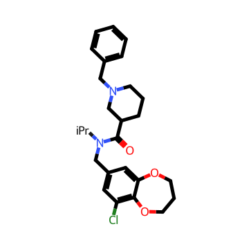 CC(C)N(Cc1cc(Cl)c2c(c1)OCCCO2)C(=O)C1CCCN(Cc2ccccc2)C1